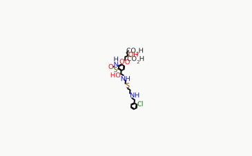 O=C(O)CC(O)(CC(=O)Oc1ccc([C@@H](O)CNCCSCCCNCCc2ccccc2Cl)c2sc(=O)[nH]c12)C(=O)O